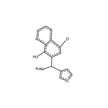 CC(=O)NC(c1ccoc1)c1cc(Cl)c2cccnc2c1O